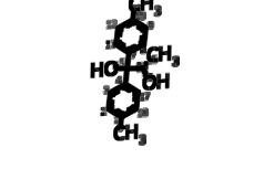 Cc1ccc(C(O)(c2ccc(C)cc2)[C@H](C)O)cc1